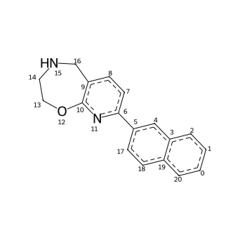 c1ccc2cc(-c3ccc4c(n3)OCCNC4)ccc2c1